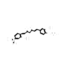 CCN(CC)c1ccc(C=CC(=O)CC(=O)C=Cc2ccc(OC)c(O)c2)c(O)c1